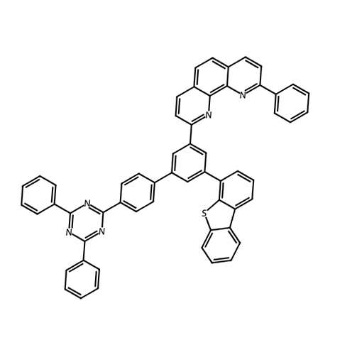 c1ccc(-c2ccc3ccc4ccc(-c5cc(-c6ccc(-c7nc(-c8ccccc8)nc(-c8ccccc8)n7)cc6)cc(-c6cccc7c6sc6ccccc67)c5)nc4c3n2)cc1